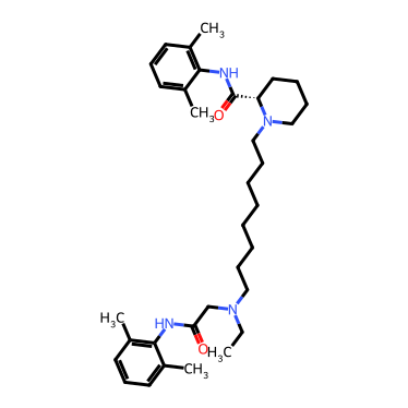 CCN(CCCCCCCCN1CCCC[C@H]1C(=O)Nc1c(C)cccc1C)CC(=O)Nc1c(C)cccc1C